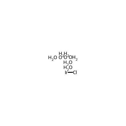 O.O.O.O.O.O.[Cl][Ir]